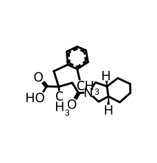 Cc1ccccc1CC(C)(CC(=O)N1C[C@H]2CCCC[C@H]2C1)C(=O)O